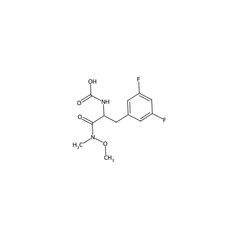 CON(C)C(=O)C(Cc1cc(F)cc(F)c1)NC(=O)O